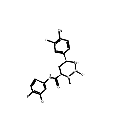 CN1[C@@H](C(=O)Nc2ccc(F)c(Cl)c2)C[C@@H](c2ccc(C#N)c(F)c2)N[S+]1[O-]